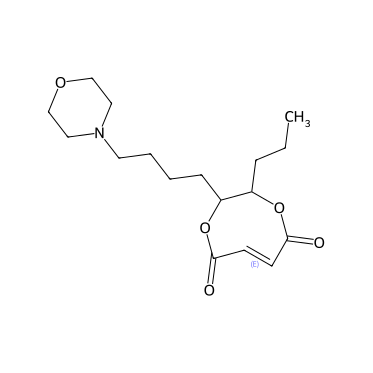 CCCC1OC(=O)/C=C/C(=O)OC1CCCCN1CCOCC1